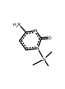 C[Si](C)(C)n1ccc(N)nc1=O